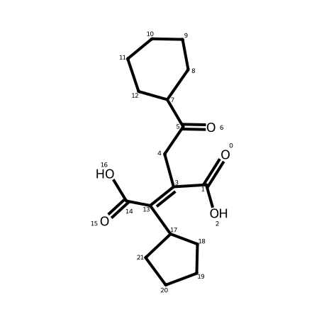 O=C(O)C(CC(=O)C1CCCCC1)=C(C(=O)O)C1CCCC1